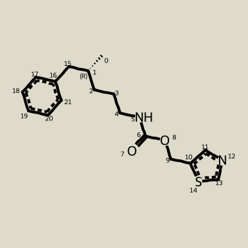 C[C@H](CCCNC(=O)OCc1cncs1)Cc1ccccc1